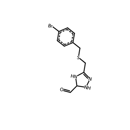 O=CC1NN=C(CSCc2ccc(Br)cc2)N1